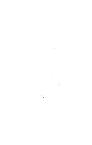 CNc1c(C=N)cccc1-c1ccc(O)cc1C